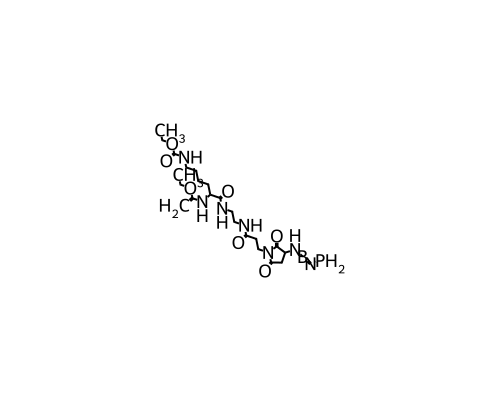 C=C(NC(CCCCNC(=O)OCC)C(=O)NCCNC(=O)CCN1C(=O)CC(N/B=N/P)C1=O)OCC